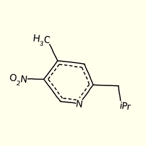 Cc1cc(CC(C)C)ncc1[N+](=O)[O-]